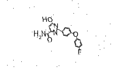 NC(=O)c1cc(O)nc(-c2ccc(Oc3ccc(F)cc3)cc2)n1